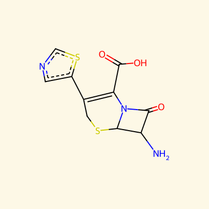 NC1C(=O)N2C(C(=O)O)=C(c3cncs3)CSC12